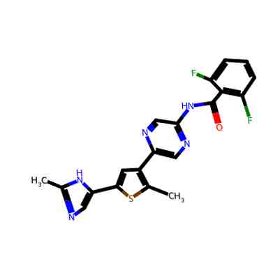 Cc1ncc(-c2cc(-c3cnc(NC(=O)c4c(F)cccc4F)cn3)c(C)s2)[nH]1